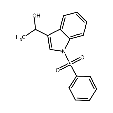 CC(O)c1cn(S(=O)(=O)c2ccccc2)c2ccccc12